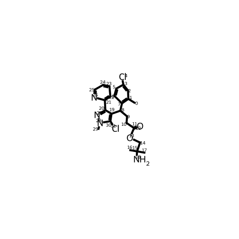 Cc1cc(Cl)ccc1C(CCC(=O)OCC(C)(C)N)c1c(-c2ccccn2)nn(C)c1Cl